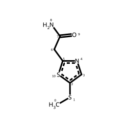 CSc1cnc(CC(N)=O)s1